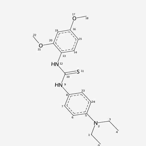 CCN(CC)c1ccc(NC(=S)Nc2ccc(OC)cc2OC)cc1